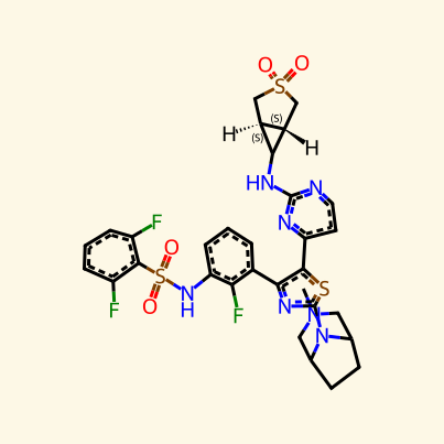 CN1CC2CCC(C1)N2c1nc(-c2cccc(NS(=O)(=O)c3c(F)cccc3F)c2F)c(-c2ccnc(NC3[C@H]4CS(=O)(=O)C[C@H]34)n2)s1